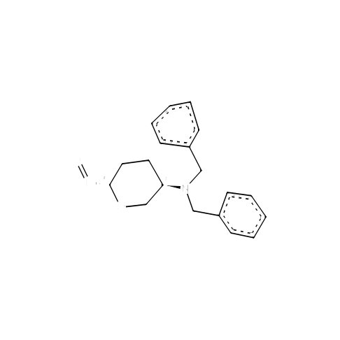 O=P[C@@H]1CC[C@@H](N(Cc2ccccc2)Cc2ccccc2)CO1